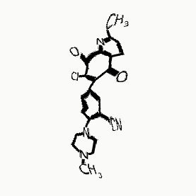 Cc1ccc2c(n1)C(=O)C(Cl)=C(c1ccc(N3CCN(C)CC3)c(C#N)c1)C2=O